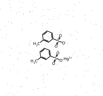 Cc1cccc(S(=O)(=O)[O-])c1.Cc1cccc(S(=O)(=O)[O-])c1.[Hg+2]